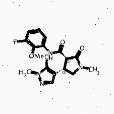 COc1c(F)cccc1NC(=O)[C@H]1C(=O)N(C)C[C@@H]1c1cnn(C)c1Cl